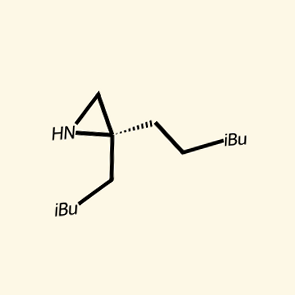 CCC(C)CC[C@@]1(CC(C)CC)CN1